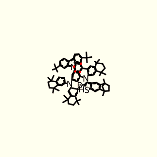 CC1(C)CCC(C)(C)C2=C[C@H]3B4c5sc6cc7c(cc6c5N(c5cc6c(cc5-c5ccccc5)C(C)(C)CCC6(C)C)c5cc(-n6c8cc(C(C)(C)C)ccc8c8ccc(C(C)(C)C)cc86)cc(c54)N(c4ccc5c(c4)C(C)(C)CCC5(C)C)C3C=C21)C1(C)CCC7(C)C1